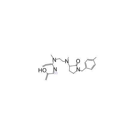 C=C=C(/N=C\C(=C)O)N(C)CCN(C)C1CCN(Cc2ccc(C)cc2)C1=O